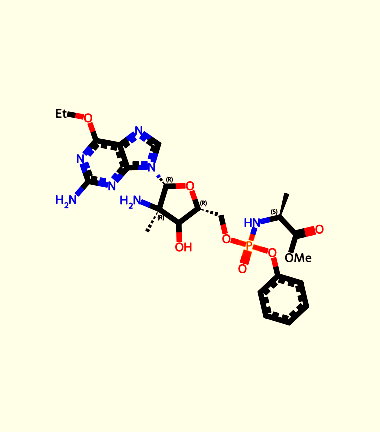 CCOc1nc(N)nc2c1ncn2[C@@H]1O[C@H](COP(=O)(N[C@@H](C)C(=O)OC)Oc2ccccc2)C(O)[C@@]1(C)N